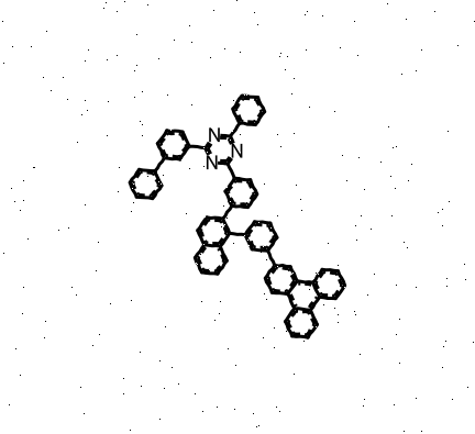 c1ccc(-c2cccc(-c3nc(-c4ccccc4)nc(-c4cccc(-c5ccc6ccccc6c5-c5cccc(-c6ccc7c8ccccc8c8ccccc8c7c6)c5)c4)n3)c2)cc1